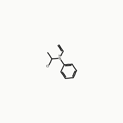 C=C[SiH](c1ccccc1)C(C)Cl